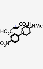 CNC1CCN(c2ccc([N+](=O)[O-])cc2)CC1.O=C(O)/C=C/C(=O)O